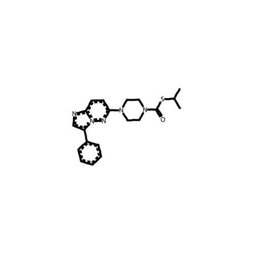 CC(C)SC(=O)N1CCN(c2ccc3ncc(-c4ccccc4)n3n2)CC1